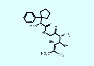 CN[C@H](C(=O)N[C@H](C(=O)N(C)C(C=C(C)C(=O)O)C(C)C)C(C)(C)C)C1(c2ccccc2)CCCC1